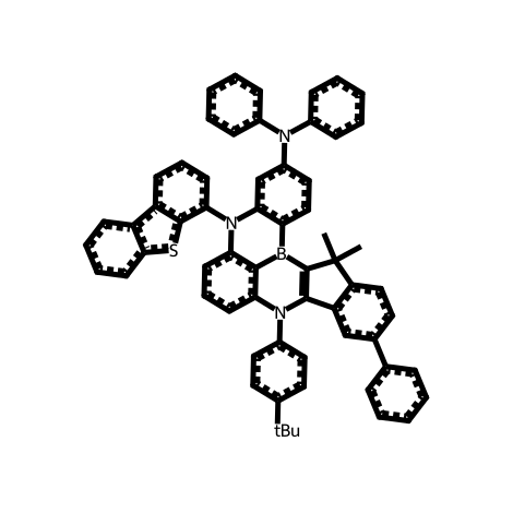 CC(C)(C)c1ccc(N2C3=C(B4c5ccc(N(c6ccccc6)c6ccccc6)cc5N(c5cccc6c5sc5ccccc56)c5cccc2c54)C(C)(C)c2ccc(-c4ccccc4)cc23)cc1